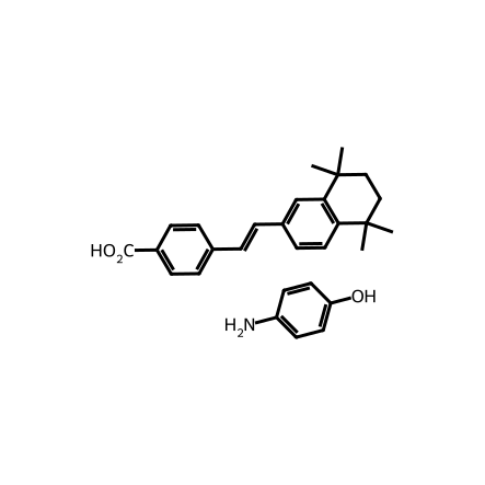 CC1(C)CCC(C)(C)c2cc(/C=C/c3ccc(C(=O)O)cc3)ccc21.Nc1ccc(O)cc1